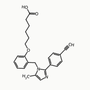 C#Cc1ccc(-c2ncc(C)n2Cc2ccccc2OCCCCCC(=O)O)cc1